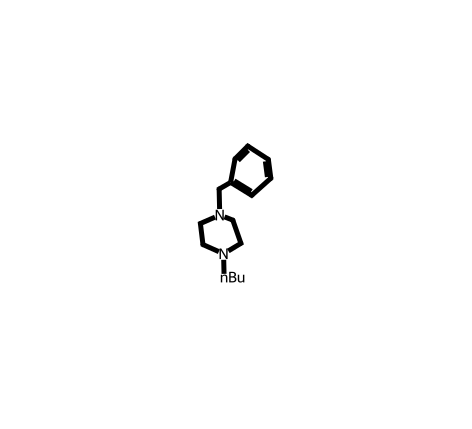 CCCCN1CCN(Cc2ccccc2)CC1